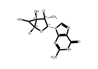 C[C@]1(Cl)[C@H](n2cnc3c(=O)[nH]c(N)nc32)O[C@@H]2C(O)[C@@]21O